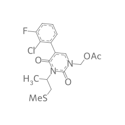 CSCC(C)n1c(=O)c(-c2cccc(F)c2Cl)cn(COC(C)=O)c1=O